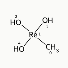 [CH3][Re]([OH])([OH])[OH]